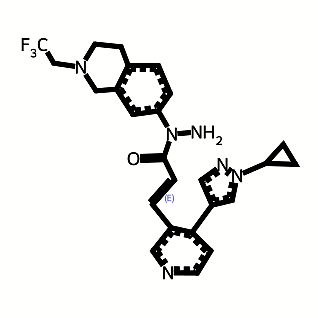 NN(C(=O)/C=C/c1cnccc1-c1cnn(C2CC2)c1)c1ccc2c(c1)CN(CC(F)(F)F)CC2